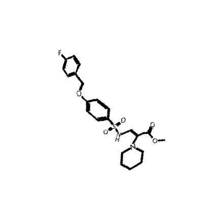 COC(=O)C(CNS(=O)(=O)c1ccc(OCc2ccc(F)cc2)cc1)N1CCCCC1